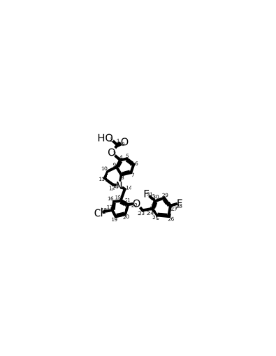 O=C(O)Oc1cccc2c1CCCN2Cc1cc(Cl)ccc1OCc1ccc(F)cc1F